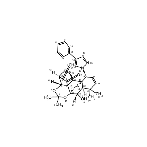 C=C1C(=O)[C@@]23[C@@H]4OC(C)(C)OC25OC[C@]2([C@@H](n6cc(-c7ccccc7)nn6)C=CC(C)(C)[C@H]2[C@@H]5O)[C@@H]3CC[C@@H]14